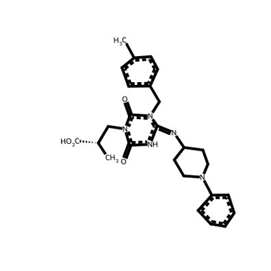 Cc1ccc(Cn2c(=O)n(C[C@H](C)C(=O)O)c(=O)[nH]/c2=N\C2CCN(c3ccccc3)CC2)cc1